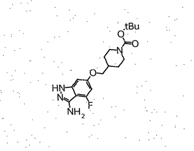 CC(C)(C)OC(=O)N1CCC(COc2cc(F)c3c(N)n[nH]c3c2)CC1